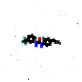 CCc1ccc(NC(=O)Nc2cccc(C(F)(F)F)c2)c(F)c1